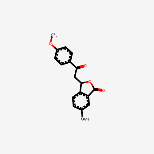 COc1ccc2c(c1)C(=O)OC2CC(=O)c1ccc(OC(F)(F)F)cc1